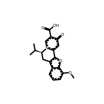 COc1cccc2c3c(oc12)-c1cc(=O)c(C(=O)O)cn1[C@H](C(C)C)C3